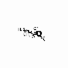 CN(C)CCNC(=O)c1cccc([N+]#N)c1.[Cl-]